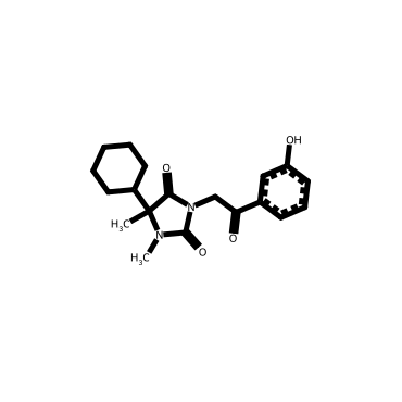 CN1C(=O)N(CC(=O)c2cccc(O)c2)C(=O)C1(C)C1CCCCC1